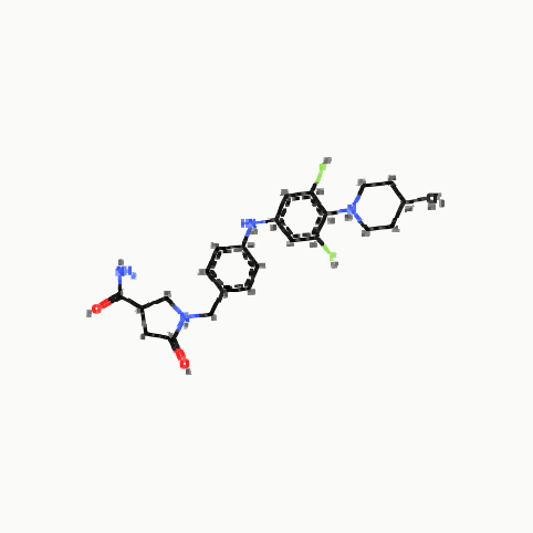 NC(=O)C1CC(=O)N(Cc2ccc(Nc3cc(F)c(N4CCC(C(F)(F)F)CC4)c(F)c3)cc2)C1